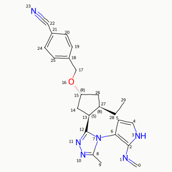 C=Nc1[nH]ccc1-n1c(C)nnc1[C@H]1C[C@H](OCc2ccc(C#N)cc2)C[C@H]1CC